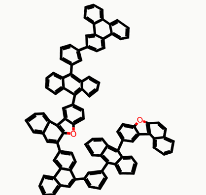 c1cc(-c2ccc3c4ccccc4c4ccccc4c3c2)cc(-c2c3ccccc3c(-c3ccc4oc5c(-c6ccc7c(-c8cccc(-c9c%10ccccc%10c(-c%10ccc%11oc%12ccc%13ccccc%13c%12c%11c%10)c%10ccccc9%10)c8)cc8ccccc8c7c6)cc6ccccc6c5c4c3)c3ccccc23)c1